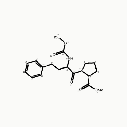 COC(=O)[C@@H]1CCCN1C(=O)C(CCc1ccccc1)NC(=O)OC(C)(C)C